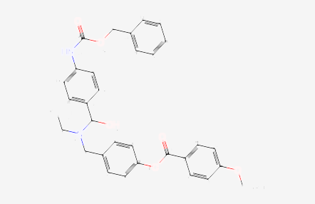 CCCCCCCOc1ccc(C(=O)Oc2ccc(CN(CC(=O)O)C(O)c3ccc(NC(=O)OCc4ccccc4)cc3)cc2)cc1